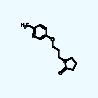 Cc1ccc(OCCCN2CCCC2=O)cn1